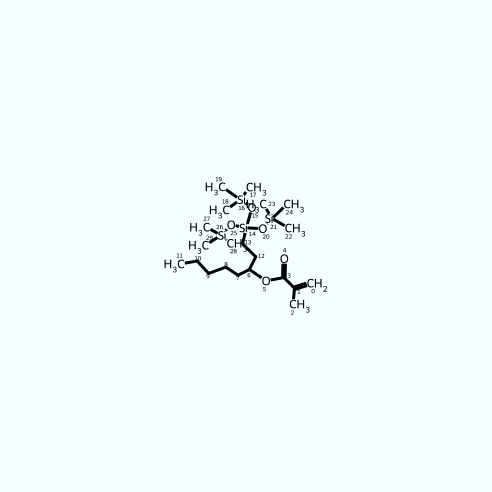 C=C(C)C(=O)OC(CCCCC)CC[Si](O[Si](C)(C)C)(O[Si](C)(C)C)O[Si](C)(C)C